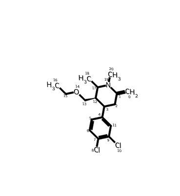 C=C1CC(c2ccc(Cl)c(Cl)c2)[C@@H](COCC)C(C)N1C